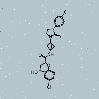 O=C(NC12CC(N3CCN(c4ccc(Cl)cc4)C3=O)(C1)C2)[C@H]1C[C@@H](O)c2cc(Cl)ccc2O1